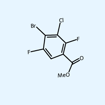 COC(=O)c1cc(F)c(Br)c(Cl)c1F